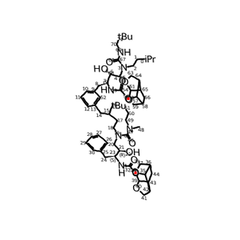 CC(C)CCN(C[C@@H](O)[C@H](Cc1cccc(CC(C)CCN(C[C@@H](O)[C@H](Cc2ccccc2)NC(=O)OC2C3COC4OCC2C4C3)C(=O)N(C)CCC(C)(C)C)c1)NC(=O)OC1C2COC3OCC1C3C2)C(=O)NCC(C)(C)C